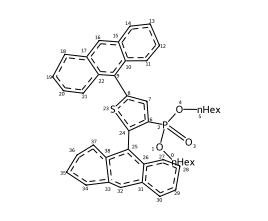 CCCCCCOP(=O)(OCCCCCC)c1cc(-c2c3ccccc3cc3ccccc23)sc1-c1c2ccccc2cc2ccccc12